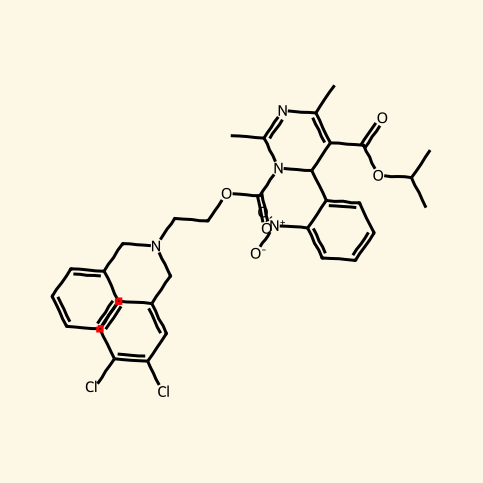 CC1=NC(C)=C(C(=O)OC(C)C)C(c2ccccc2[N+](=O)[O-])N1C(=O)OCCN(Cc1ccccc1)Cc1ccc(Cl)c(Cl)c1